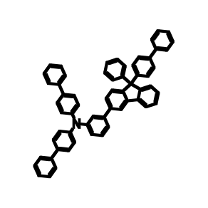 c1ccc(-c2ccc(N(c3ccc(-c4ccccc4)cc3)c3cccc(-c4ccc5c(c4)-c4ccccc4C5(c4ccccc4)c4ccc(-c5ccccc5)cc4)c3)cc2)cc1